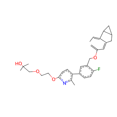 C=C(/C=C1/CC2CC2/C1=C/C)OCc1cc(-c2ccc(OCCOCC(C)(C)O)nc2C)ccc1F